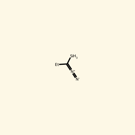 CCC([SiH3])=[N+]=[N-]